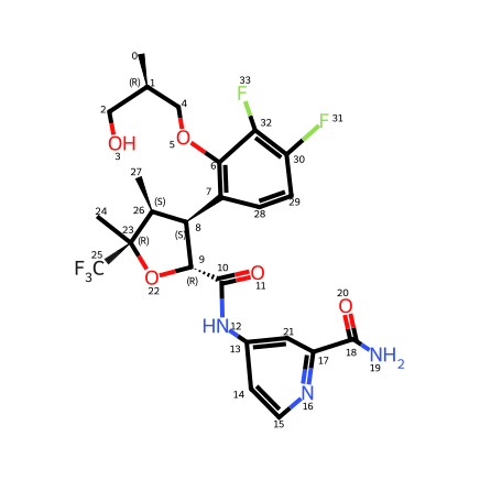 C[C@H](CO)COc1c([C@H]2[C@H](C(=O)Nc3ccnc(C(N)=O)c3)O[C@@](C)(C(F)(F)F)[C@H]2C)ccc(F)c1F